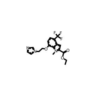 CCOC(=O)c1cc2c(C(F)(F)F)ccc(OCCn3ccnc3)c2n1C